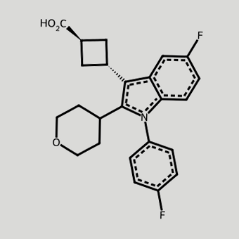 O=C(O)[C@H]1C[C@H](c2c(C3CCOCC3)n(-c3ccc(F)cc3)c3ccc(F)cc32)C1